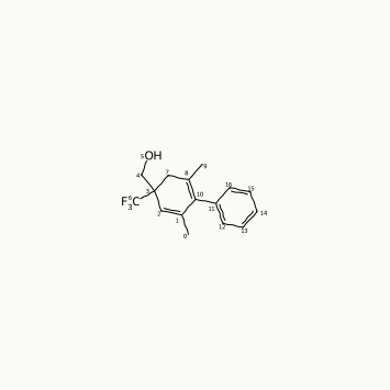 CC1=CC(CO)(C(F)(F)F)CC(C)=C1c1ccccc1